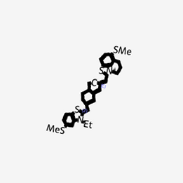 CCN1/C(=C/C2=CC3=C/C(=C/c4sc5ccc(SC)c6c5[n+]4CCC6)CCC3CC2)Sc2ccc(SC)cc21